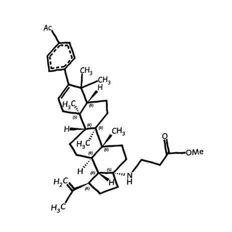 C=C(C)[C@@H]1CC[C@]2(NCCC(=O)OC)CC[C@]3(C)[C@H](CC[C@@H]4[C@@]5(C)CC=C(c6ccc(C(C)=O)cc6)C(C)(C)[C@@H]5CC[C@]43C)[C@@H]12